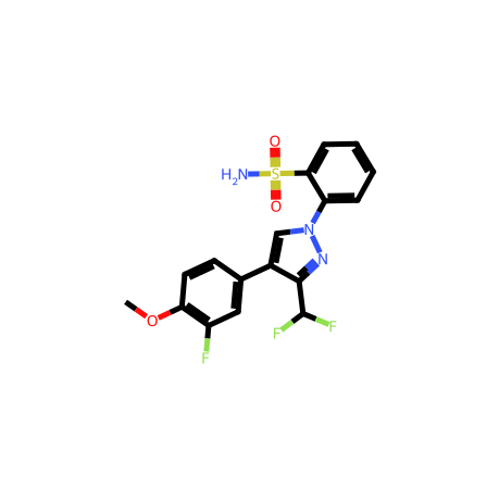 COc1ccc(-c2cn(-c3ccccc3S(N)(=O)=O)nc2C(F)F)cc1F